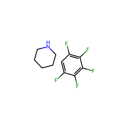 C1CCNCC1.Fc1cc(F)c(F)c(F)c1F